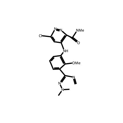 C=N/C(=N\N(C)C)c1cccc(Nc2cc(Cl)nnc2C(=O)NC)c1OC